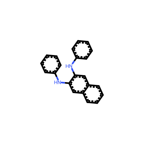 c1ccc(Nc2cc3ccccc3cc2Nc2ccccc2)cc1